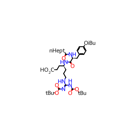 CCCCCCCC(=O)N[C@@H](Cc1ccc(OCC(C)C)cc1)C(=O)N[C@@H](CCCN/C(=N\C(=O)OC(C)(C)C)NC(=O)OC(C)(C)C)CCC(=O)O